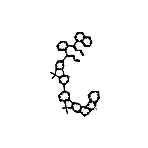 C=C/C=C(/c1ccccc1/C(=C/C=C)c1ccc2c(c1)-c1ccc(-c3ccc4c(c3)-c3cc5c(ccc6sc7ccccc7c65)cc3C4(C)C)cc1C2(C)C)c1cccc2ccccc12